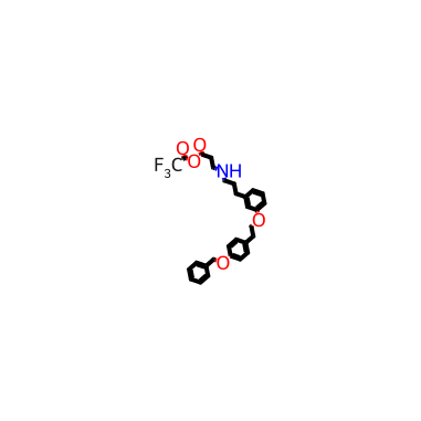 O=C(CCNCCCc1cccc(OCCc2ccc(OCc3ccccc3)cc2)c1)OC(=O)C(F)(F)F